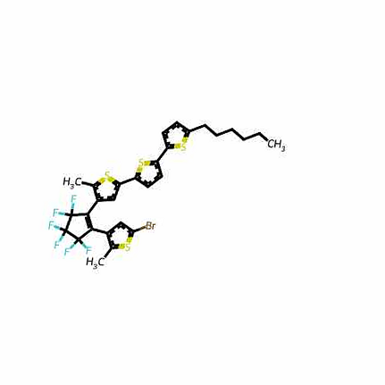 CCCCCCc1ccc(-c2ccc(-c3cc(C4=C(c5cc(Br)sc5C)C(F)(F)C(F)(F)C4(F)F)c(C)s3)s2)s1